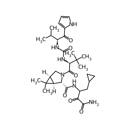 CC(C)[C@H](NC(=O)N[C@H](C(=O)N1C[C@H]2[C@@H]([C@H]1C(=O)NC(CC1CC1)C(=O)C(N)=O)C2(C)C)C(C)(C)C)C(=O)c1ccc[nH]1